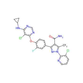 NC(=O)c1c(-c2ccc(Oc3ncnc(NC4CC4)c3Cl)c(F)c2)nn(-c2ncccc2Cl)c1C(F)(F)F